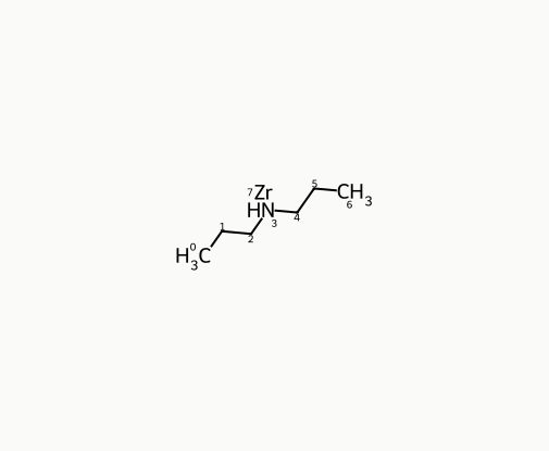 CCCNCCC.[Zr]